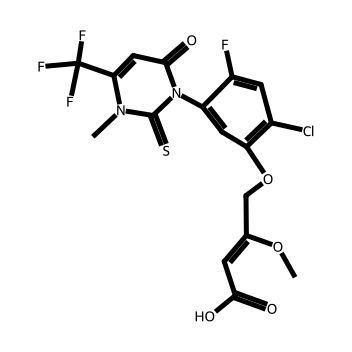 CO/C(=C\C(=O)O)COc1cc(-n2c(=O)cc(C(F)(F)F)n(C)c2=S)c(F)cc1Cl